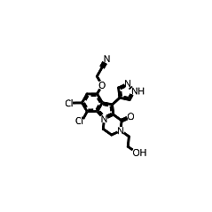 N#CCOc1cc(Cl)c(Cl)c2c1c(-c1cn[nH]c1)c1n2CCN(CCO)C1=O